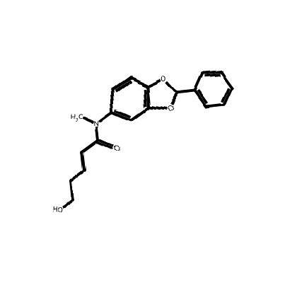 CN(C(=O)CCCCO)c1ccc2c(c1)OC(c1ccccc1)O2